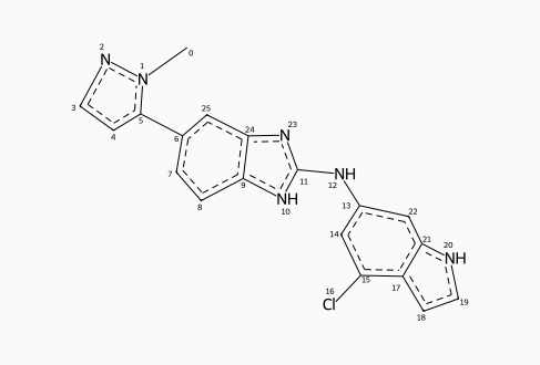 Cn1nccc1-c1ccc2[nH]c(Nc3cc(Cl)c4cc[nH]c4c3)nc2c1